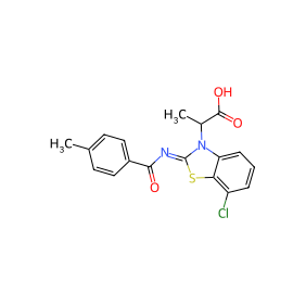 Cc1ccc(C(=O)N=c2sc3c(Cl)cccc3n2C(C)C(=O)O)cc1